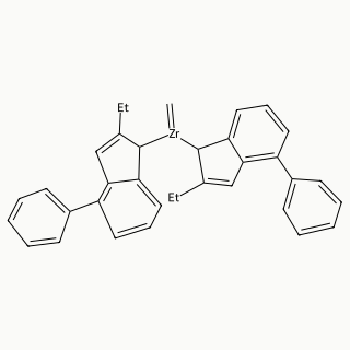 [CH2]=[Zr]([CH]1C(CC)=Cc2c(-c3ccccc3)cccc21)[CH]1C(CC)=Cc2c(-c3ccccc3)cccc21